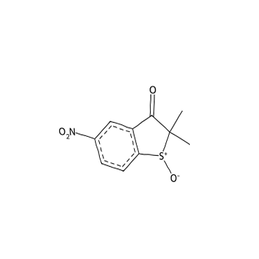 CC1(C)C(=O)c2cc([N+](=O)[O-])ccc2[S+]1[O-]